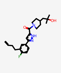 C=CCCc1cc(-c2cc(C(=O)N3CCC(CC(C)(C)O)CC3)[nH]n2)ccc1F